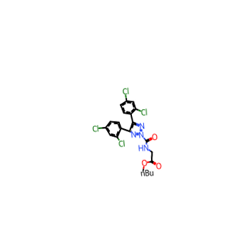 CCCCOC(=O)CNC(=O)n1nc(-c2ccc(Cl)cc2Cl)c(-c2ccc(Cl)cc2Cl)n1